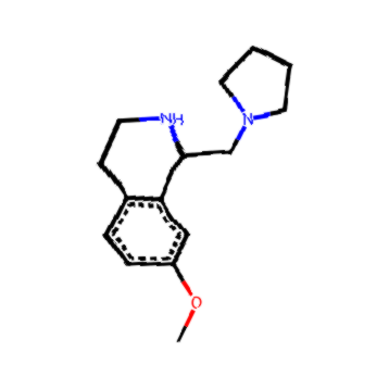 COc1ccc2c(c1)C(CN1CCCC1)NCC2